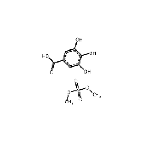 COS(=O)(=O)OC.O=C(O)c1cc(O)c(O)c(O)c1